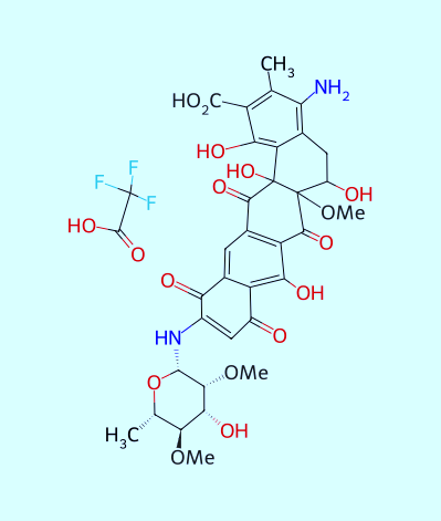 CO[C@@H]1[C@@H](O)[C@@H](OC)[C@@H](NC2=CC(=O)c3c(cc4c(c3O)C(=O)C3(OC)C(O)Cc5c(N)c(C)c(C(=O)O)c(O)c5C3(O)C4=O)C2=O)O[C@H]1C.O=C(O)C(F)(F)F